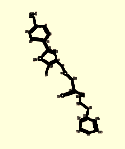 CCc1ccc(-c2nc(COCC(=O)NCCc3ccccc3)c(C)o2)cc1